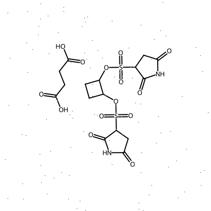 O=C(O)CCC(=O)O.O=C1CC(S(=O)(=O)OC2CCC2OS(=O)(=O)C2CC(=O)NC2=O)C(=O)N1